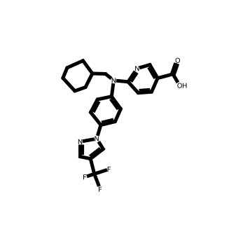 O=C(O)c1ccc(N(CC2CCCCC2)c2ccc(-n3cc(C(F)(F)F)cn3)cc2)nc1